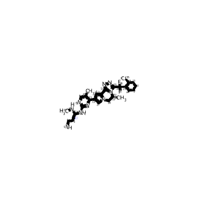 CN/C(=C\C=N)Nc1ncc(C)c(-c2cc3n(c2)C[C@H](C)n2c-3nnc2C(F)(F)c2ccccc2Cl)n1